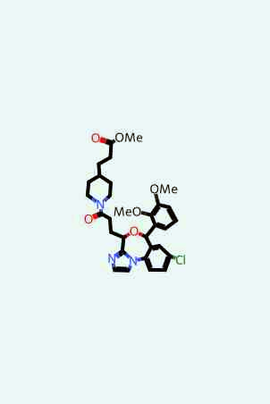 COC(=O)CCC1CCN(C(=O)CCC2OC(c3cccc(OC)c3OC)c3cc(Cl)ccc3-n3ccnc32)CC1